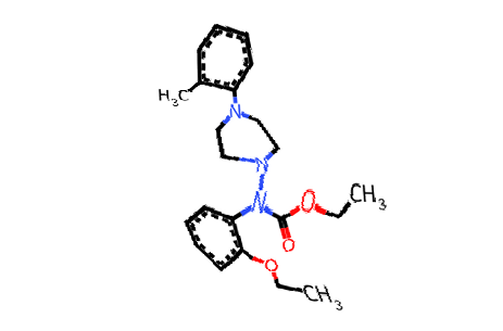 CCOC(=O)N(c1ccccc1OCC)N1CCN(c2ccccc2C)CC1